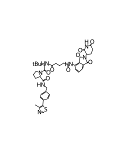 Cc1ncsc1-c1ccc(CNC(=O)C2CCCN2C(=O)C(NC(=O)CCCC(=O)Nc2cccc3c2C(=O)N(C2CCC(=O)NC2=O)C3=O)C(C)(C)C)cc1